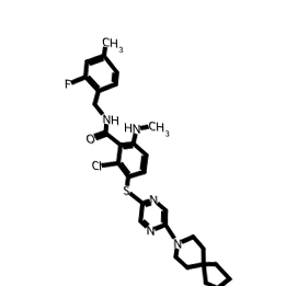 CNc1ccc(Sc2cnc(N3CCC4(CCCC4)CC3)cn2)c(Cl)c1C(=O)NCc1ccc(C)cc1F